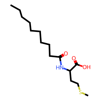 CCCCCCCCCC(=O)NC(CCSC)C(=O)O